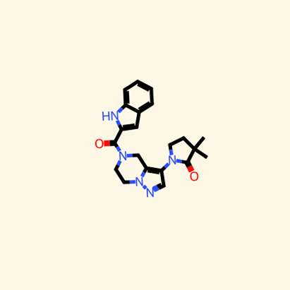 CC1(C)CCN(c2cnn3c2CN(C(=O)c2cc4ccccc4[nH]2)CC3)C1=O